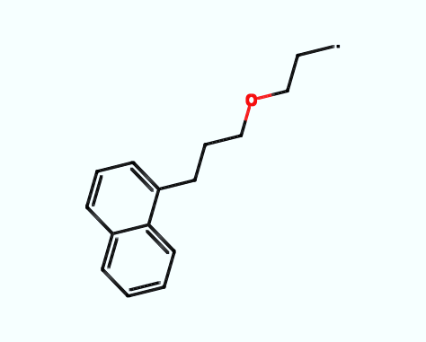 [CH2]CCOCCCc1cccc2ccccc12